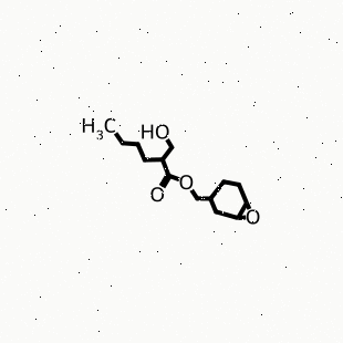 CCCCC(CO)C(=O)OCC1CCC2OC2C1